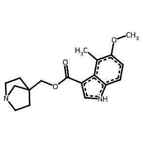 COc1ccc2[nH]cc(C(=O)OCC34CCN(CC3)C4)c2c1C